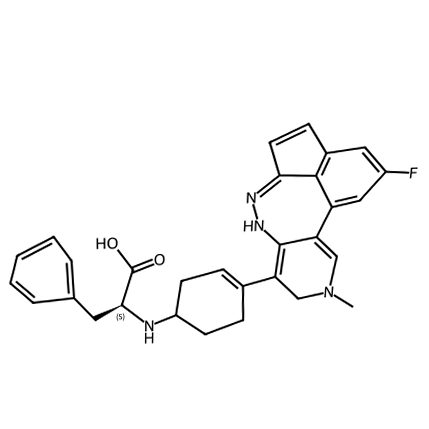 CN1C=C2C(=C(C3=CCC(N[C@@H](Cc4ccccc4)C(=O)O)CC3)C1)NN=C1C=Cc3cc(F)cc2c31